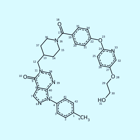 Cc1ccc(-n2ncc3c(=O)n(CC4CCN(C(=O)c5ccc(Oc6ccc(OCCO)cn6)cc5)CC4)cnc32)cc1